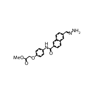 COC(=O)COc1ccc(NC(=O)c2ccc3cc(C=NN)ccc3c2)cc1